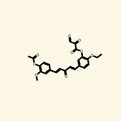 CCOc1ccc(/C=C/C(=O)/C=C/c2ccc(OC(C)=O)c(OC)c2)cc1OC(=O)C(=O)C=O